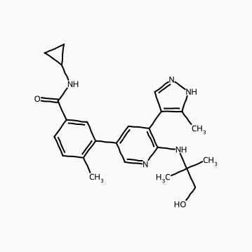 Cc1ccc(C(=O)NC2CC2)cc1-c1cnc(NC(C)(C)CO)c(-c2cn[nH]c2C)c1